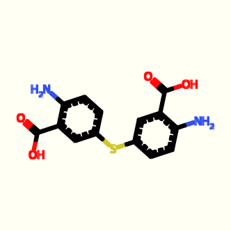 Nc1ccc(Sc2ccc(N)c(C(=O)O)c2)cc1C(=O)O